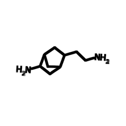 NCCC1CC2CC1CC2N